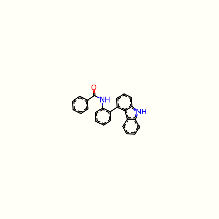 O=C(Nc1ccccc1-c1cccc2[nH]c3ccccc3c12)c1ccccc1